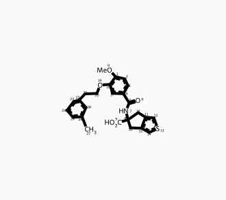 COc1ccc(C(=O)NC2(C(=O)O)Cc3cscc3C2)cc1OCCc1cccc(C)c1